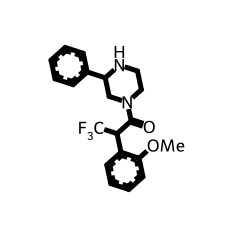 COc1ccccc1C(C(=O)N1CCNC(c2ccccc2)C1)C(F)(F)F